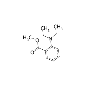 CCN(CC)c1ccccc1C(=O)OC